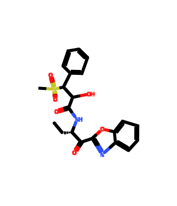 CC[C@H](NC(=O)C(O)C(c1ccccc1)S(C)(=O)=O)C(=O)c1nc2ccccc2o1